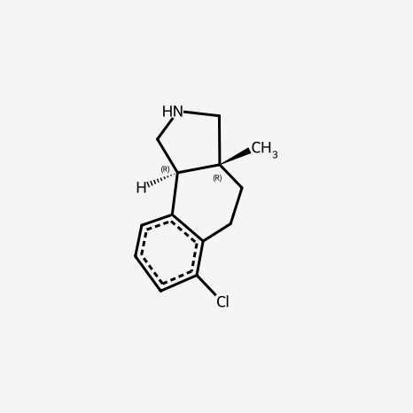 C[C@@]12CCc3c(Cl)cccc3[C@H]1CNC2